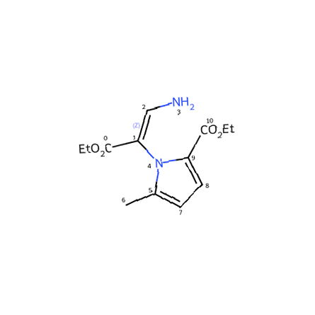 CCOC(=O)/C(=C/N)n1c(C)ccc1C(=O)OCC